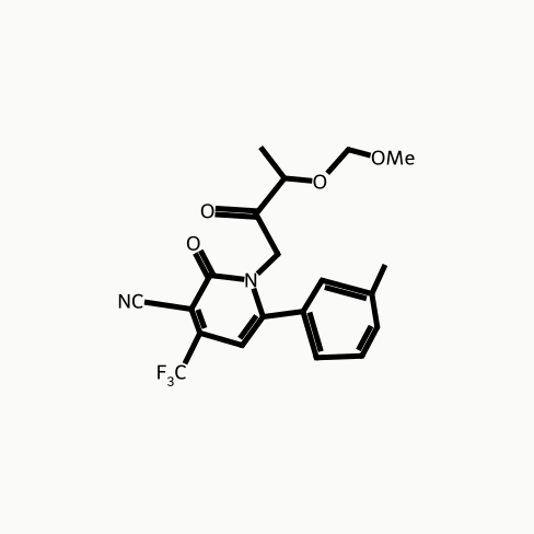 COCOC(C)C(=O)Cn1c(-c2cccc(C)c2)cc(C(F)(F)F)c(C#N)c1=O